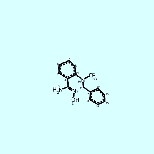 NC(=NO)c1ccccc1N(Cc1ccccc1)C(F)(F)F